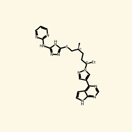 CC[C@H](CC[C@H](C)CSc1nnc(Nc2ncccn2)[nH]1)n1cc(-c2ncnc3[nH]ccc23)cn1